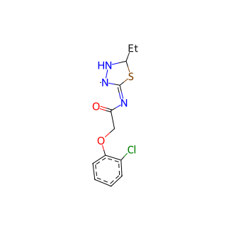 CCC1N[N]C(=NC(=O)COc2ccccc2Cl)S1